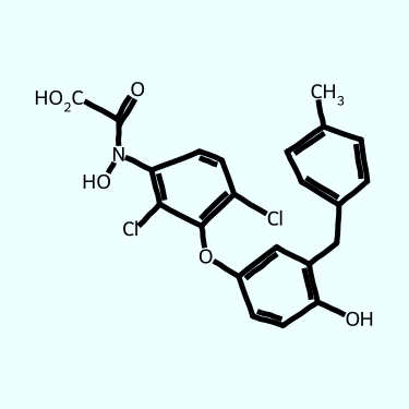 Cc1ccc(Cc2cc(Oc3c(Cl)ccc(N(O)C(=O)C(=O)O)c3Cl)ccc2O)cc1